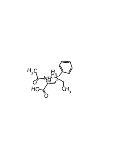 CCS(C)(C[C@H](NC(C)=O)C(=O)O)c1ccccc1